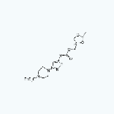 CCOC(=O)N1CCN([n+]2cc([N-]C(=O)OC[C@H]3COC(C)(C)O3)on2)CC1